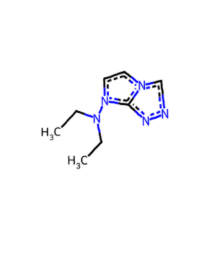 CCN(CC)n1ccn2cnnc12